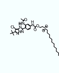 CCCCCCCCCCCCS(=O)(=O)CCOC(=O)Nc1ccc(-c2nn3nc(C(C)(C)C)c(Cl)c3[nH]2)c(NC(C)=O)c1